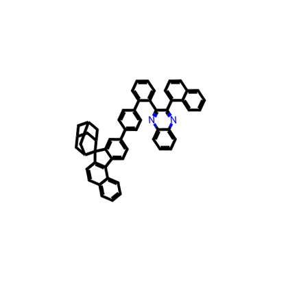 c1ccc(-c2nc3ccccc3nc2-c2cccc3ccccc23)c(-c2ccc(-c3ccc4c(c3)C3(c5ccc6ccccc6c5-4)C4CC5CC(C4)CC3C5)cc2)c1